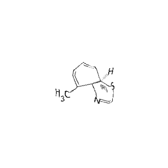 CC1=CC=C[C@H]2SC=NC12